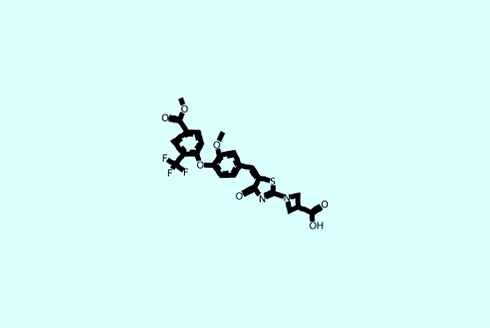 COC(=O)c1ccc(Oc2ccc(/C=C3/SC(N4CC(C(=O)O)C4)=NC3=O)cc2OC)c(C(F)(F)F)c1